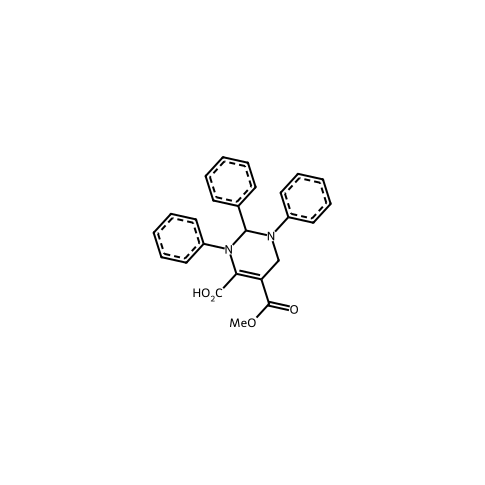 COC(=O)C1=C(C(=O)O)N(c2ccccc2)C(c2ccccc2)N(c2ccccc2)C1